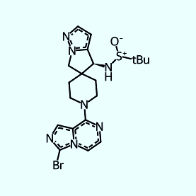 CC(C)(C)[S+]([O-])N[C@@H]1c2ccnn2CC12CCN(c1nccn3c(Br)ncc13)CC2